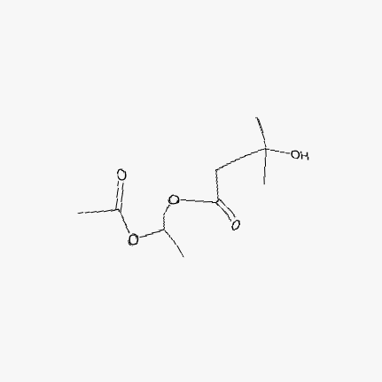 CC(=O)OC(C)OC(=O)CC(C)(C)O